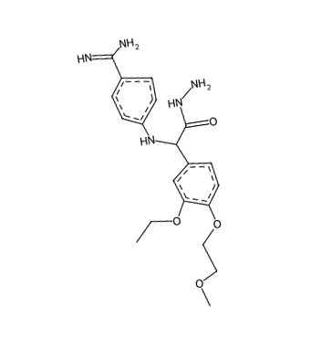 CCOc1cc(C(Nc2ccc(C(=N)N)cc2)C(=O)NN)ccc1OCCOC